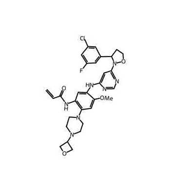 C=CC(=O)Nc1cc(Nc2cc(N3OCCC3c3cc(F)cc(Cl)c3)ncn2)c(OC)cc1N1CCN(C2COC2)CC1